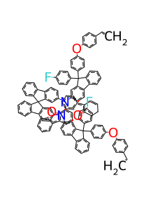 C=Cc1ccc(Oc2ccc(C3(c4ccc(F)cc4)c4ccccc4-c4ccc(N(c5ccc6c(c5)C5(c7ccccc7-6)c6ccccc6-c6ccc(N(c7ccc8c(c7)C(c7ccc(F)cc7)(c7ccc(Oc9ccc(C=C)cc9)cc7)c7ccccc7-8)c7cccc8c7oc7ccccc78)cc65)c5cccc6c7c(oc56)CCC=C7)cc43)cc2)cc1